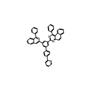 c1ccc(-c2nc(-c3cc(-c4ccc(-c5ccccn5)cc4)cc(-c4nc(-c5ccccc5)c5c(ccc6ccccc65)n4)c3)cc3ccccc23)cc1